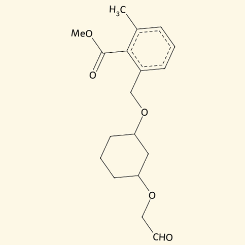 COC(=O)c1c(C)cccc1COC1CCCC(OCC=O)C1